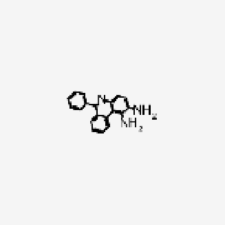 Nc1ccc2nc(-c3ccccc3)c3ccccc3c2c1N